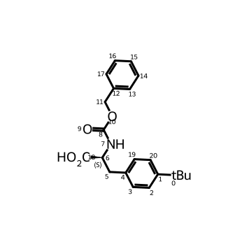 CC(C)(C)c1ccc(C[C@H](NC(=O)OCc2ccccc2)C(=O)O)cc1